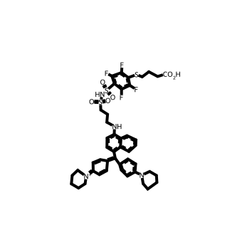 O=C(O)CCCSc1c(F)c(F)c(S(=O)(=O)NS(=O)(=O)CCCNc2ccc(C(=C3C=CC(=[N+]4CCCCC4)C=C3)c3ccc(N4CCCCC4)cc3)c3ccccc23)c(F)c1F